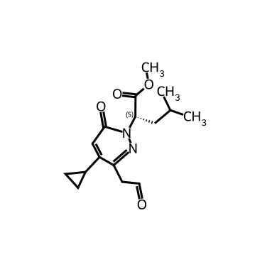 COC(=O)[C@H](CC(C)C)n1nc(CC=O)c(C2CC2)cc1=O